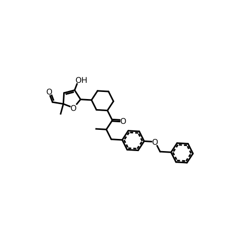 CC(Cc1ccc(OCc2ccccc2)cc1)C(=O)C1CCCC(C2OC(C)(C=O)C=C2O)C1